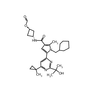 Cc1c(C(=O)N[C@H]2C[C@H](OC=O)C2)cc(-c2cc(C3(C)CC3)nc(C(C)(C)O)n2)n1CC1CCCCC1